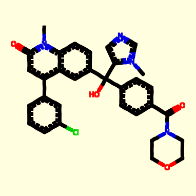 Cn1cncc1C(O)(c1ccc(C(=O)N2CCOCC2)cc1)c1ccc2c(c1)c(-c1cccc(Cl)c1)cc(=O)n2C